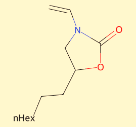 C=CN1CC(CCCCCCCC)OC1=O